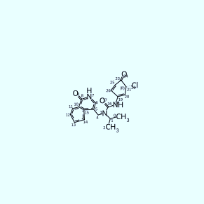 CC(C)N(Cc1c[nH]c(=O)c2ccccc12)C(=O)NC1=C[C@@H](Cl)C(=O)C=C1